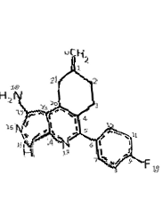 C=C1CCc2c(-c3ccc(F)cc3)nc3[nH]nc(N)c3c2C1